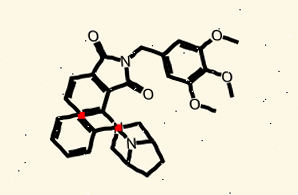 COc1cc(CN2C(=O)c3cccc(N4CC5CCC(C4)N5Cc4ccccc4)c3C2=O)cc(OC)c1OC